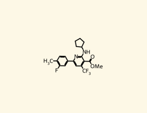 COC(=O)c1c(C(F)(F)F)cc(-c2ccc(C)c(F)c2)nc1NC1CCCC1